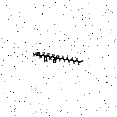 CCCCCCCCCCOC(=O)CCCNCCO